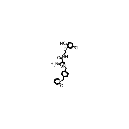 N#Cc1ccc(Cl)cc1OCCNC(=O)c1cn(Cc2ccc(Cn3ccccc3=O)cc2)nc1N